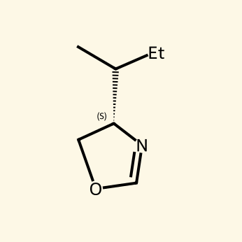 CCC(C)[C@H]1COC=N1